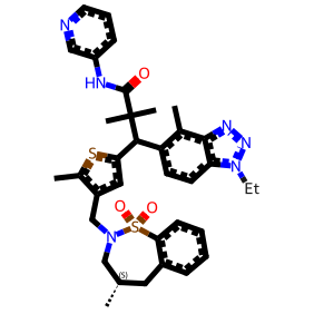 CCn1nnc2c(C)c(C(c3cc(CN4C[C@@H](C)Cc5ccccc5S4(=O)=O)c(C)s3)C(C)(C)C(=O)Nc3cccnc3)ccc21